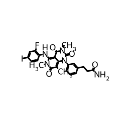 Cc1c(=O)n(C)c(Nc2ccc(I)cc2F)c2c(=O)n(C)c(=O)n(-c3cccc(CCC(N)=O)c3)c12